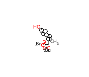 C[C@H](CCC(C(=O)OC(C)(C)C)C(=O)OC(C)(C)C)C1CCC2C3CCC4C[C@H](O)CC[C@]4(C)C3CC[C@@]21C